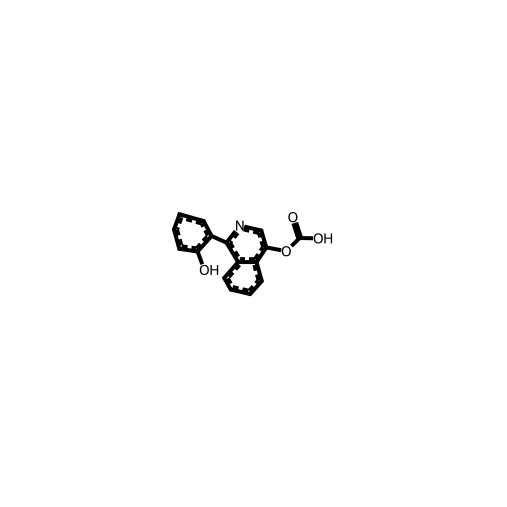 O=C(O)Oc1cnc(-c2ccccc2O)c2ccccc12